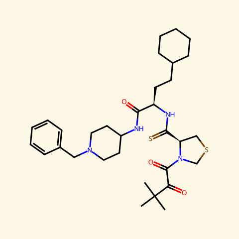 CC(C)(C)C(=O)C(=O)N1CSC[C@@H]1C(=S)N[C@H](CCC1CCCCC1)C(=O)NC1CCN(Cc2ccccc2)CC1